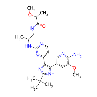 COc1cc(-c2[nH]c(C(C)(C)C)nc2-c2ccnc(NC(C)CNC(=O)C(C)OC)n2)cnc1N